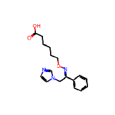 O=C(O)CCCCCO/N=C(\Cn1ccnc1)c1ccccc1